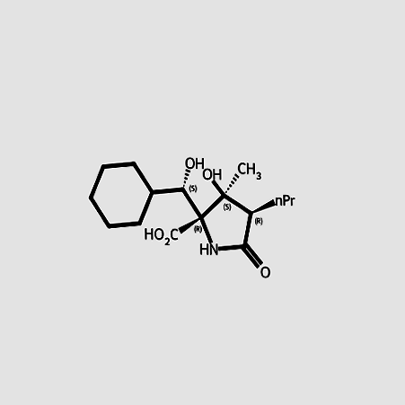 CCC[C@H]1C(=O)N[C@](C(=O)O)([C@@H](O)C2CCCCC2)[C@@]1(C)O